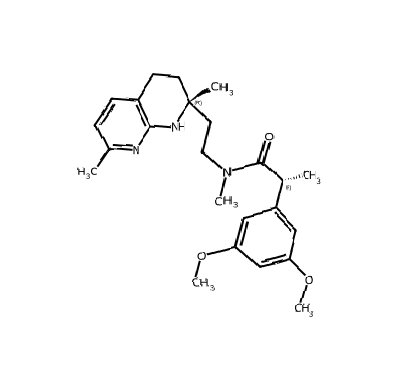 COc1cc(OC)cc([C@@H](C)C(=O)N(C)CC[C@@]2(C)CCc3ccc(C)nc3N2)c1